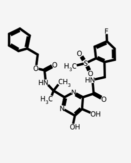 CC(C)(NC(=O)OCc1ccccc1)c1nc(O)c(O)c(C(=O)NCc2ccc(F)cc2S(C)(=O)=O)n1